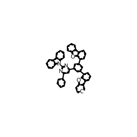 c1ccc(-c2cc(-c3cc(-c4cccc5c4oc4ccccc45)cc(-c4cccc5c4oc4ccccc45)c3)nc(-n3c4ccccc4c4ccccc43)n2)cc1